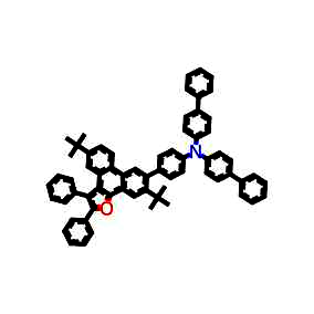 CC(C)(C)c1ccc2c3cc(-c4ccc(N(c5ccc(-c6ccccc6)cc5)c5ccc(-c6ccccc6)cc5)cc4)c(C(C)(C)C)cc3c3oc(-c4ccccc4)c(-c4ccccc4)c3c2c1